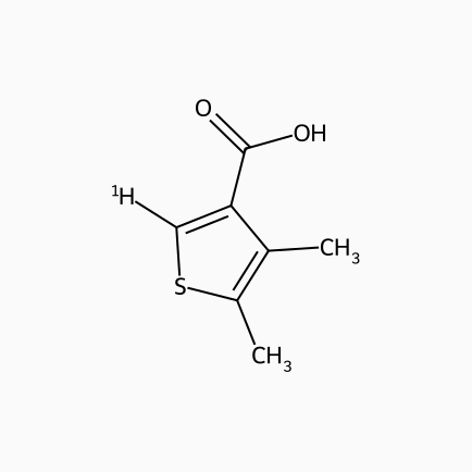 [1H]c1sc(C)c(C)c1C(=O)O